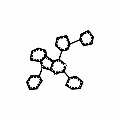 c1ccc(-c2cccc(-c3nc(-c4ccccc4)nc4c3c3ccccc3n4-c3ccccc3)c2)cc1